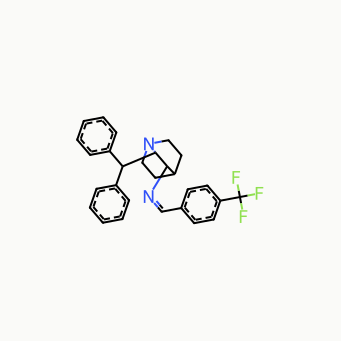 FC(F)(F)c1ccc(/C=N\C2C3CCN(CC3)C2C(c2ccccc2)c2ccccc2)cc1